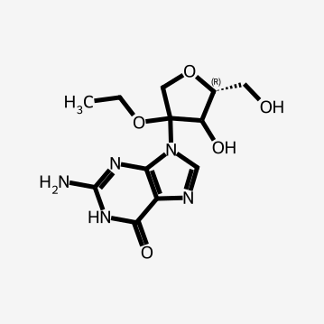 CCOC1(n2cnc3c(=O)[nH]c(N)nc32)CO[C@H](CO)C1O